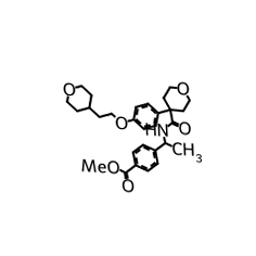 COC(=O)c1ccc(C(C)NC(=O)C2(c3ccc(OCCC4CCOCC4)cc3)CCOCC2)cc1